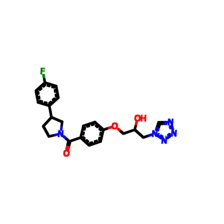 O=C(c1ccc(OCC(O)Cn2cnnn2)cc1)N1CCC(c2ccc(F)cc2)C1